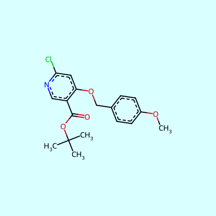 COc1ccc(COc2cc(Cl)ncc2C(=O)OC(C)(C)C)cc1